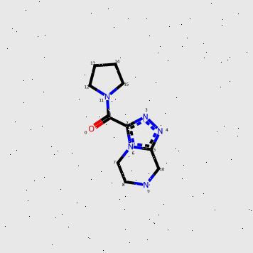 O=C(c1nnc2n1CC[N]C2)N1CCCC1